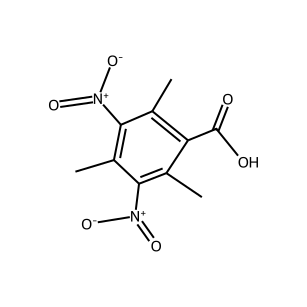 Cc1c(C(=O)O)c(C)c([N+](=O)[O-])c(C)c1[N+](=O)[O-]